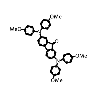 COc1ccc(N(c2ccc(OC)cc2)c2ccc3c(c2)C(=O)c2cc(N(c4ccc(OC)cc4)c4ccc(OC)cc4)ccc2-3)cc1